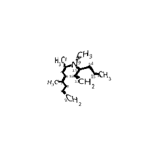 C=CC/C(C)=C/C=C(/C)N(C)C(C=C)CCC